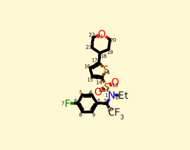 CCN(C(c1ccc(F)cc1)C(F)(F)F)S(=O)(=O)c1ccc(C2CCOCC2)s1